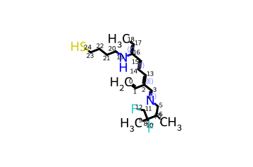 C=CC(/C=N/C[C@@H](C)C(C)(F)CF)=C\C=C\C(=C\C)NCCCCS